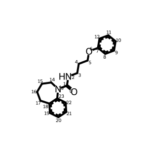 O=C(NCCCOc1ccccc1)N1CCCCc2ccccc21